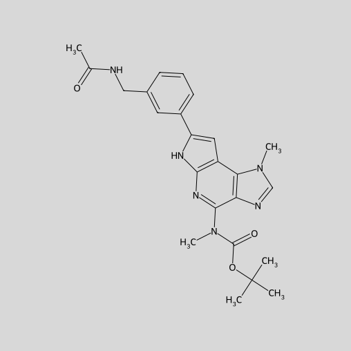 CC(=O)NCc1cccc(-c2cc3c(nc(N(C)C(=O)OC(C)(C)C)c4ncn(C)c43)[nH]2)c1